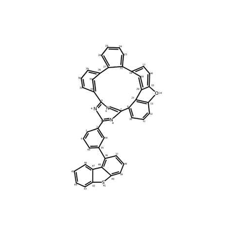 c1cc(-c2nc3nc(n2)c2cccc4oc5ccc(cc5c42)c2ccccc2c2cccc3c2)cc(-c2cccc3sc4ccccc4c23)c1